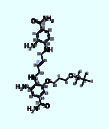 CC(C)(C)[Si](C)(C)OCCCOc1cc(C(N)=O)cc(N)c1NC/C=C/CNc1ccc(C(N)=O)cc1N